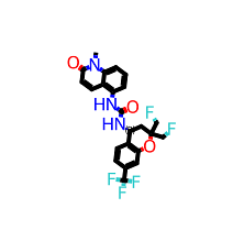 Cn1c(=O)ccc2c(NC(=O)N[C@@H]3CC(CF)(CF)Oc4cc(C(F)(F)F)ccc43)cccc21